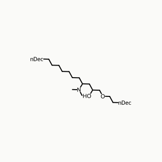 CCCCCCCCCCCCCCCCCC(CC(O)COCCCCCCCCCCCC)N(C)C